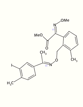 CO/N=C(/C(=O)OC)c1cccc(C)c1CO/N=C(\C)c1ccc(C)c(I)c1